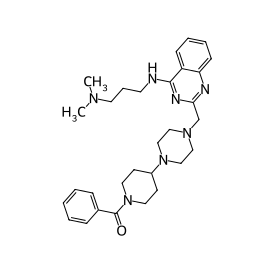 CN(C)CCCNc1nc(CN2CCN(C3CCN(C(=O)c4ccccc4)CC3)CC2)nc2ccccc12